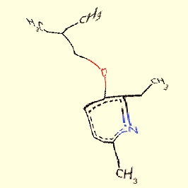 Cc1ccc(OCC(C)C)c(C)n1